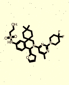 Cc1cc(N2CC3(CCC(C)(C)CC3)c3cc(NS(=O)(=O)CCO)ccc3C2=C2CC=CO2)nc(N2CCC(F)(F)CC2)n1